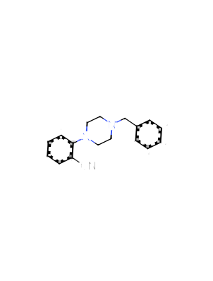 N#Cc1ccccc1N1CCN(Cc2ccccc2)CC1